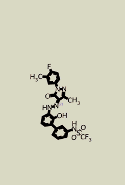 CC1=NN(c2ccc(F)c(C)c2)C(=O)/C1=N\Nc1cccc(-c2cccc(NS(=O)(=O)C(F)(F)F)c2)c1O